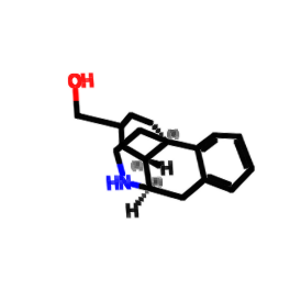 OCC1CC[C@]23CCN[C@H](Cc4ccccc42)[C@@H]3C1